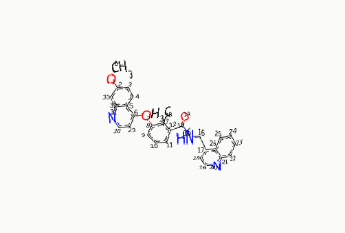 COc1ccc2c(Oc3cccc(C(=O)NCc4ccnc5ccccc45)c3C)ccnc2c1